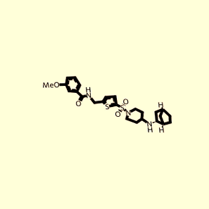 COc1cccc(C(=O)NCc2ccc(S(=O)(=O)N3CCC(N[C@@H]4C[C@H]5CC[C@@H]4C5)CC3)s2)c1